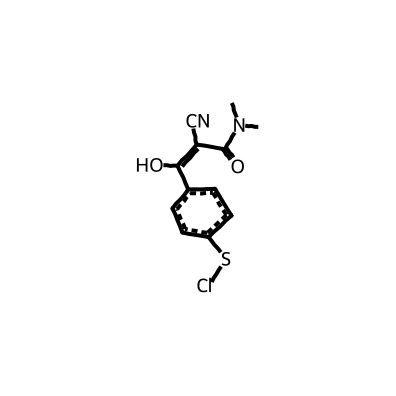 CN(C)C(=O)C(C#N)=C(O)c1ccc(SCl)cc1